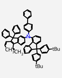 C=CC1=C(/C=C\C)C(c2ccccc2)(c2ccccc2)c2cc(N(c3ccc(-c4ccccc4)cc3)c3cccc4c3-c3ccccc3C4(c3ccc(C(C)(C)C)cc3)c3ccc(C(C)(C)C)cc3)ccc21